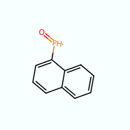 O=[PH]c1cccc2ccccc12